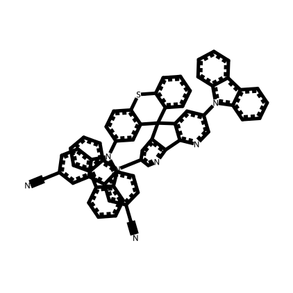 N#Cc1ccc2c(c1)c1cc(C#N)ccc1n2-c1ccc2c(c1)C1(c3ccccc3S2)c2cc(-n3c4ccccc4c4ccccc43)cnc2-c2ncc(-n3c4ccccc4c4ccccc43)cc21